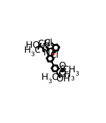 CC(C)(O)c1cn(-c2ccc(-c3ccc(C(C)(C)O)c(S(C)(=O)=O)c3)cc2Cl)c(-c2c(F)cccc2Cl)n1